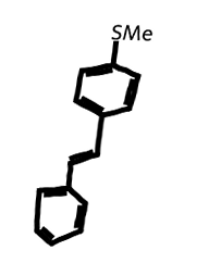 CSc1ccc(C=Cc2ccccc2)cc1